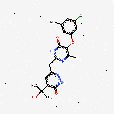 CC(C)(O)c1cc(Cc2nc(C(F)(F)F)c(Oc3cc(Cl)cc(C#N)c3)c(=O)[nH]2)n[nH]c1=O